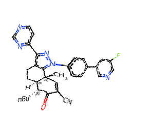 CCCC[C@H]1C(=O)C(C#N)=C[C@@]2(C)c3c(c(-c4ccncn4)nn3-c3ccc(-c4cncc(F)c4)cc3)CC[C@H]12